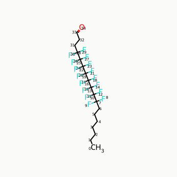 CCCCCCCC(F)(F)C(F)(F)C(F)(F)C(F)(F)C(F)(F)C(F)(F)C(F)(F)C(F)(F)CCC=O